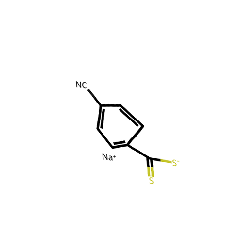 N#Cc1ccc(C(=S)[S-])cc1.[Na+]